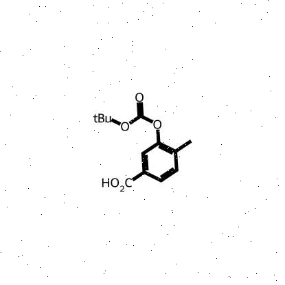 Cc1ccc(C(=O)O)cc1OC(=O)OC(C)(C)C